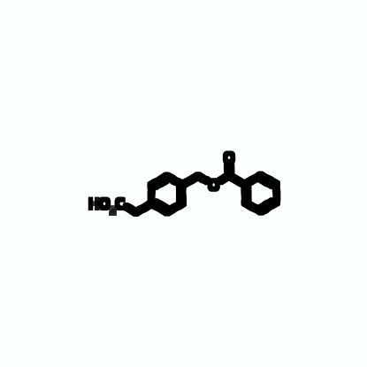 O=C(O)Cc1ccc(COC(=O)c2ccccc2)cc1